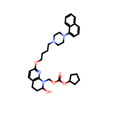 O=C(OCN1c2nc(OCCCCN3CCN(c4cccc5ccccc45)CC3)ccc2CCC1O)OC1CCCC1